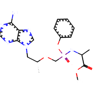 CCCOC(=O)C(C)NP(=O)(CO[C@H](C)Cn1cnc2c(N)ncnc21)Oc1ccccc1